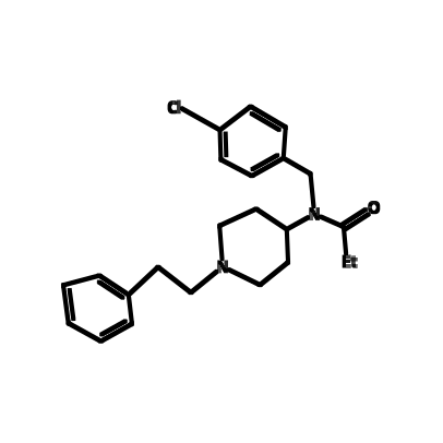 CCC(=O)N(Cc1ccc(Cl)cc1)C1CCN(CCc2ccccc2)CC1